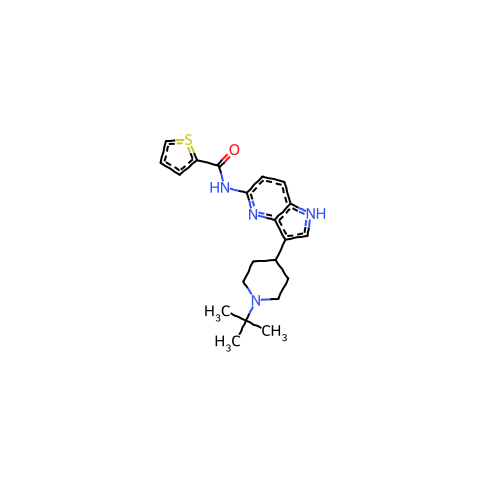 CC(C)(C)N1CCC(c2c[nH]c3ccc(NC(=O)c4cccs4)nc23)CC1